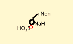 CCCCCCCCCCCCc1ccc(OS(=O)(=O)O)cc1.[NaH]